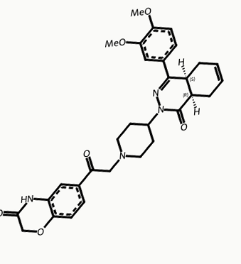 COc1ccc(C2=NN(C3CCN(CC(=O)c4ccc5c(c4)NC(=O)CO5)CC3)C(=O)[C@@H]3CC=CC[C@H]23)cc1OC